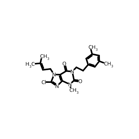 CC(C)=CCn1c(Cl)nc2c1c(=O)n(CCc1cc(C)cc(C)c1)c(=O)n2C